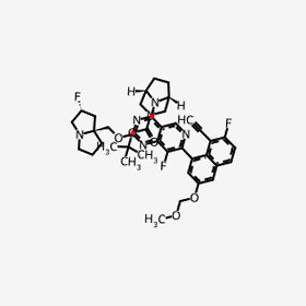 C#Cc1c(F)ccc2cc(OCOC)cc(-c3ncc4c(N5[C@@H]6CC[C@H]5CN(C(=O)OC(C)(C)C)C6)nc(OC[C@@]56CCCN5C[C@H](F)C6)nc4c3F)c12